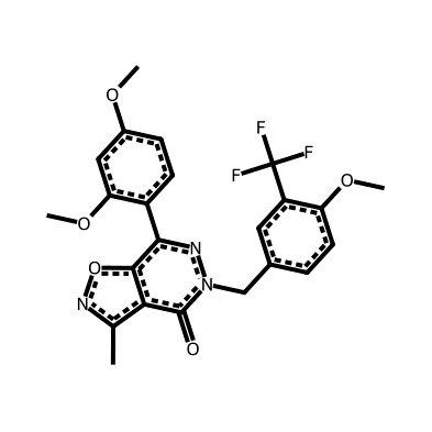 COc1ccc(-c2nn(Cc3ccc(OC)c(C(F)(F)F)c3)c(=O)c3c(C)noc23)c(OC)c1